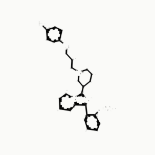 COc1ccccc1-c1nc(C2CCCN(CCCOc3ccc(F)cc3)C2)n2ccccc12